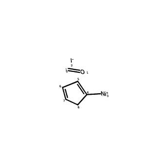 [C]=O.[I-].[Ni+][C]1=CC=CC1